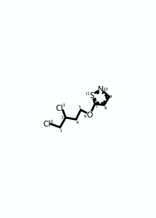 ClCC(Cl)CCOc1ccns1